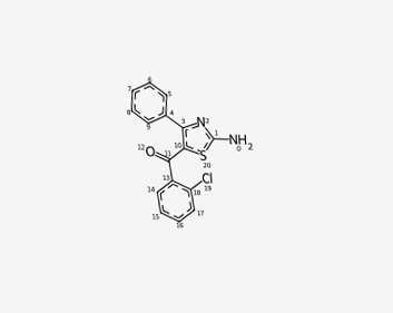 Nc1nc(-c2ccccc2)c(C(=O)c2ccccc2Cl)s1